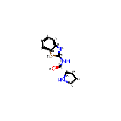 O=C(Nc1nc2ccccc2s1)[C@@H]1CCCN1